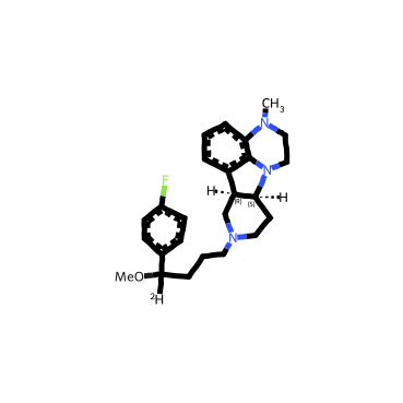 [2H]C(CCCN1CC[C@H]2[C@@H](C1)c1cccc3c1N2CCN3C)(OC)c1ccc(F)cc1